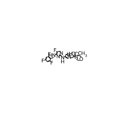 CC1(C)COCCN1C(=O)Cn1cc(Nc2ncc(F)c(NCc3c(F)cc(F)cc3F)n2)cn1